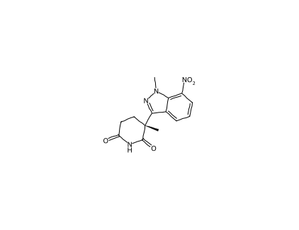 Cn1nc([C@@]2(C)CCC(=O)NC2=O)c2cccc([N+](=O)[O-])c21